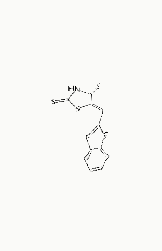 S=C1NC(=S)/C(=C/c2cc3ccccc3s2)S1